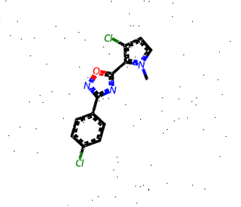 Cn1ccc(Cl)c1-c1nc(-c2ccc(Cl)cc2)no1